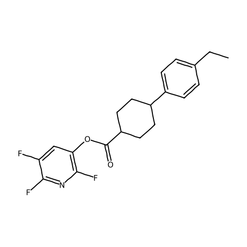 CCc1ccc(C2CCC(C(=O)Oc3cc(F)c(F)nc3F)CC2)cc1